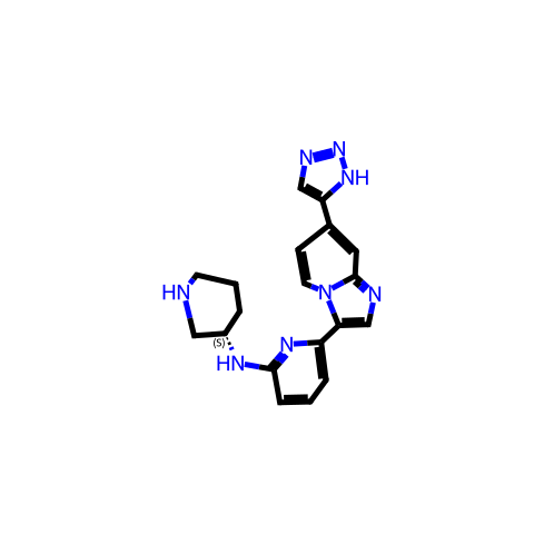 c1cc(N[C@H]2CCCNC2)nc(-c2cnc3cc(-c4cnn[nH]4)ccn23)c1